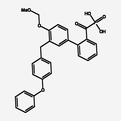 COCOc1ccc(-c2ccccc2C(=O)P(=O)(O)O)cc1Cc1ccc(Oc2ccccc2)cc1